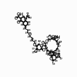 CC[C@H]1OC(=O)[C@H](C)[C@@H](O[C@H]2C[C@@](C)(OC)[C@@H](OCCCCOCCCc3ccc4c(c3)c(=O)c(C(=O)O)cn4N(C)C)[C@H](C)O2)[C@H](C)[C@@H](O[C@@H]2O[C@H](C)C[C@H](N(C)C)[C@H]2O)[C@](C)(O)C[C@@H](C)CN(C)[C@H](C)[C@@H](O)[C@]1(C)O